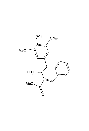 COC(=O)C(=Cc1ccccc1)C(=Cc1cc(OC)c(OC)c(OC)c1)C(=O)O